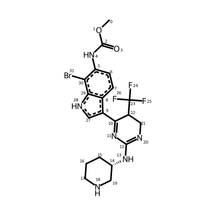 COC(=O)Nc1ccc2c(C3=NC(N[C@H]4CCCNC4)=NCC3C(F)(F)F)c[nH]c2c1Br